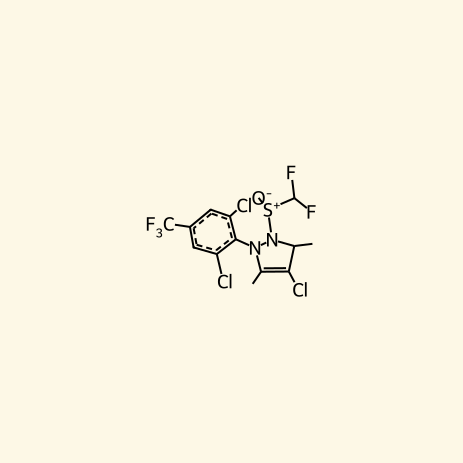 CC1=C(Cl)C(C)N([S+]([O-])C(F)F)N1c1c(Cl)cc(C(F)(F)F)cc1Cl